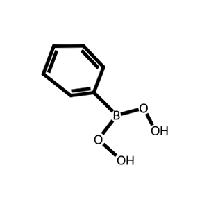 OOB(OO)c1ccccc1